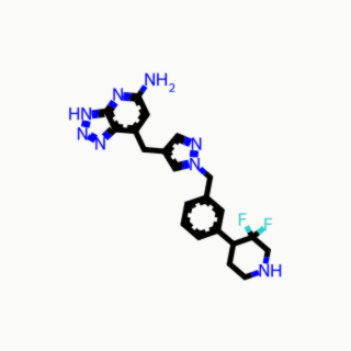 Nc1cc(Cc2cnn(Cc3cccc(C4CCNCC4(F)F)c3)c2)c2nn[nH]c2n1